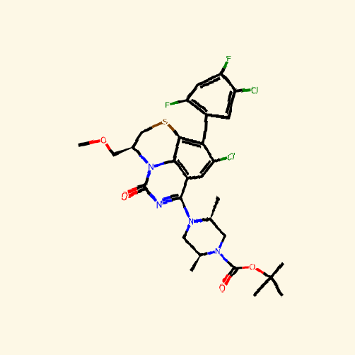 COC[C@H]1CSc2c(-c3cc(Cl)c(F)cc3F)c(Cl)cc3c(N4C[C@H](C)N(C(=O)OC(C)(C)C)C[C@@H]4C)nc(=O)n1c23